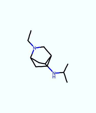 CCN1CC2CCC1CC2NC(C)C